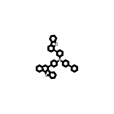 c1ccc(-c2ccc(N(c3ccc(-c4cc5ccccc5c5sc6ccccc6c45)cc3)c3cccc(-c4cccc5c4oc4ccccc45)c3)cc2)cc1